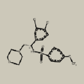 O=S(=O)(N[C@H](CN1CCOCC1)c1ccc(Cl)c(Cl)c1)c1ccc(OC(F)(F)F)cc1